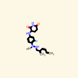 C=C/C=C\C(=C)CNN(CCC)c1ccc(NC2CCC(=O)NC2=O)cc1F